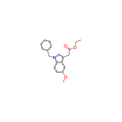 CCOC(=O)Cc1cn(Cc2ccccc2)c2ccc(OC)cc12